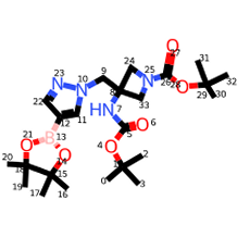 CC(C)(C)OC(=O)NC1(Cn2cc(B3OC(C)(C)C(C)(C)O3)cn2)CN(C(=O)OC(C)(C)C)C1